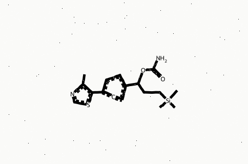 Cc1ncsc1-c1ccc(C(CC[Si](C)(C)C)OC(N)=O)cc1